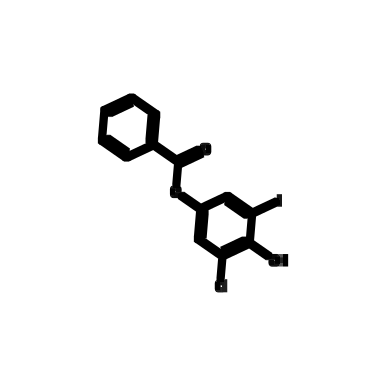 O=C(Oc1cc(Cl)c(O)c(I)c1)c1ccccc1